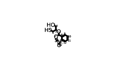 O=C(OC(CO)CS)c1ccccc1[N+]([O-])=S